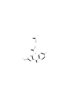 CCc1cc(C(=O)c2ccc(Br)cc2)c(NC(=O)CSCC(=O)O)s1